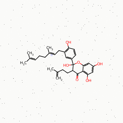 C=C(C)CCC1C(=O)c2c(O)cc(O)cc2OC1(O)c1ccc(O)c(C/C=C(\C)CCC=C(C)C)c1